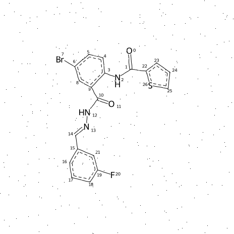 O=C(Nc1ccc(Br)cc1C(=O)N/N=C/c1cccc(F)c1)c1cccs1